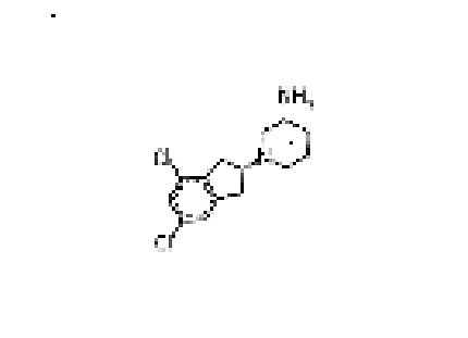 N[C@@H]1CCCN([C@H]2Cc3cc(Cl)cc(Cl)c3C2)C1